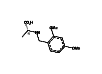 COc1ccc(CN[C@H](C)C(=O)O)c(OC)c1